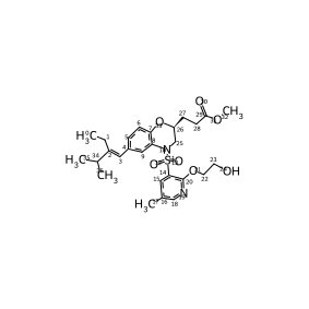 CC/C(=C\c1ccc2c(c1)N(S(=O)(=O)c1cc(C)cnc1OCCO)C[C@H](CCC(=O)OC)O2)C(C)C